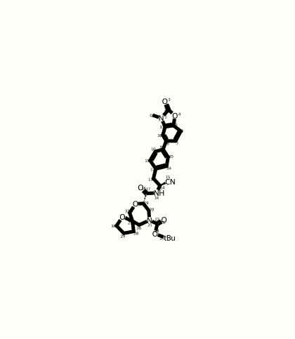 Cn1c(=O)oc2ccc(-c3ccc(C[C@@H](C#N)NC(=O)[C@@H]4CN(C(=O)OC(C)(C)C)CC5(CCCO5)CO4)cc3)cc21